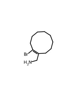 NC/C1=C(\Br)CCCCCCCC1